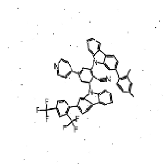 Cc1ccc(-c2ccc3c4ccccc4n(-c4cc(-c5ccncc5)cc(-n5c6ccccc6c6ccc(-c7ccc(C(F)(F)F)cc7C(F)(F)F)cc65)c4C#N)c3c2)c(C)c1